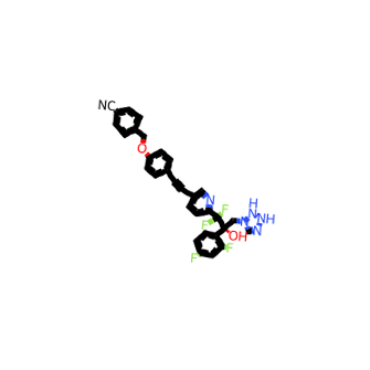 N#Cc1ccc(COc2ccc(C#Cc3ccc(C(F)(F)[C@](O)(CN4C=NNN4)c4ccc(F)cc4F)nc3)cc2)cc1